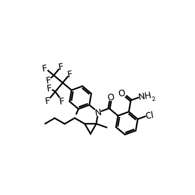 CCCCC1CC1(C)N(C(=O)c1cccc(Cl)c1C(N)=O)c1ccc(C(F)(C(F)(F)F)C(F)(F)F)cc1C